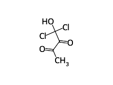 CC(=O)C(=O)C(O)(Cl)Cl